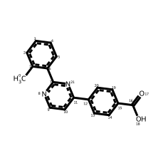 Cc1ccccc1-c1nccc(-c2ccc(C(=O)O)cc2)n1